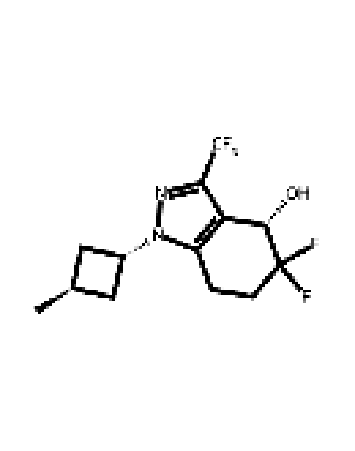 C[C@H]1C[C@H](n2nc(C(F)(F)F)c3c2CCC(F)(F)[C@H]3O)C1